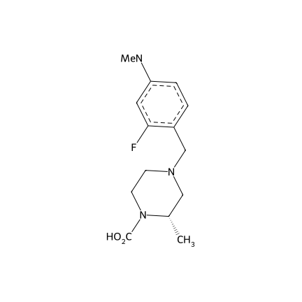 CNc1ccc(CN2CCN(C(=O)O)[C@@H](C)C2)c(F)c1